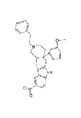 COc1cccc(C23CCN(CCc4ccccc4)CC2Cc2c([nH]c4ccc([N+](=O)[O-])cc24)C3)c1